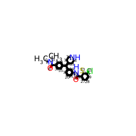 CCN(CC)C(=O)c1ccc(C(=C2CCNCC2)c2cccc(NC(=O)C3=CC=CC(Cl)C3=S)c2)cc1